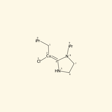 CC(C)[CH2][Cu]([Cl])=[C]1NCCN1C(C)C